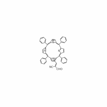 N#C/C(C=O)=C\c1cc2[nH]c1c(-c1ccccc1)c1nc(c(-c3ccccc3)c3ccc([nH]3)c(-c3ccccc3)c3nc(c2-c2ccccc2)C=C3)C=C1